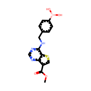 COC(=O)c1csc2c(NCc3ccc(B(O)O)cc3)ncnc12